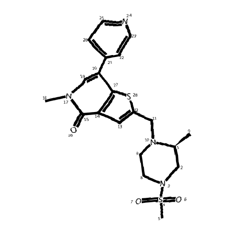 C[C@H]1CN(S(C)(=O)=O)CCN1Cc1cc2c(=O)n(C)cc(-c3ccncc3)c2s1